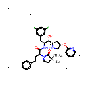 CC[C@@H](C)C1(NC(C)=O)CCN(C(CCc2ccccc2)C(=O)N[C@@H](Cc2cc(F)cc(F)c2)[C@H](O)[C@H]2C[C@H](Oc3ccccn3)CN2)C1=O